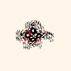 CC(C)[Si](c1c(F)c(F)c([B-](c2c(F)c(F)c([Si](C(C)C)(C(C)C)C(C)C)c(F)c2F)(c2c(F)c(F)c([Si](C(C)C)(C(C)C)C(C)C)c(F)c2F)c2c(F)c(F)c([Si](C(C)C)(C(C)C)C(C)C)c(F)c2F)c(F)c1F)(C(C)C)C(C)C.[Na+]